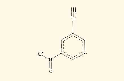 C#Cc1c[c]cc([N+](=O)[O-])c1